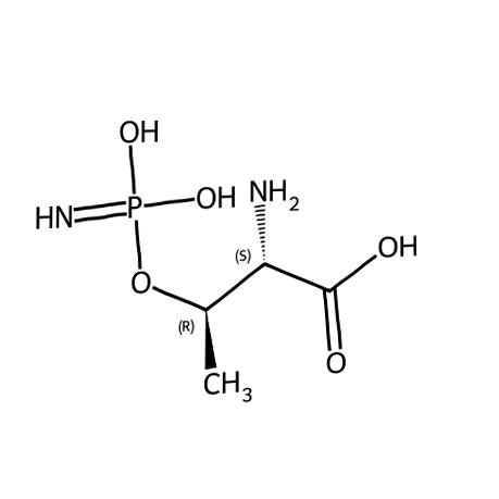 C[C@@H](OP(=N)(O)O)[C@H](N)C(=O)O